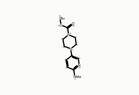 CNc1ccc(N2CCN(C(=O)OC(C)(C)C)CC2)cn1